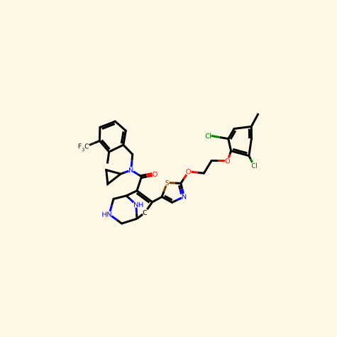 Cc1cc(Cl)c(OCCOc2ncc(C3=C(C(=O)N(Cc4cccc(C(F)(F)F)c4C)C4CC4)C4CNCC(C3)N4)s2)c(Cl)c1